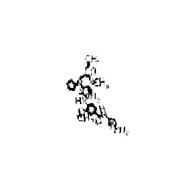 C=CC[C@H]1CN(C2CCCC2)C(=N/C(=C)Nc2ccc(C(=O)NC3CN(C)C3)cc2OC)/C(=C\N)N(C)C1=O